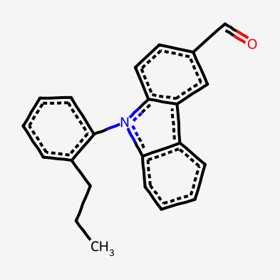 CCCc1ccccc1-n1c2ccccc2c2cc(C=O)ccc21